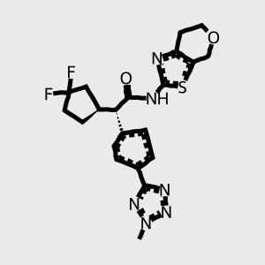 Cn1nnc(-c2ccc([C@@H](C(=O)Nc3nc4c(s3)COCC4)[C@H]3CCC(F)(F)C3)cc2)n1